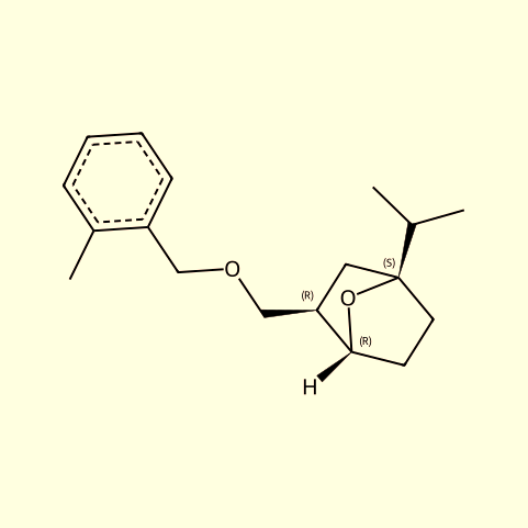 Cc1ccccc1COC[C@H]1C[C@]2(C(C)C)CC[C@H]1O2